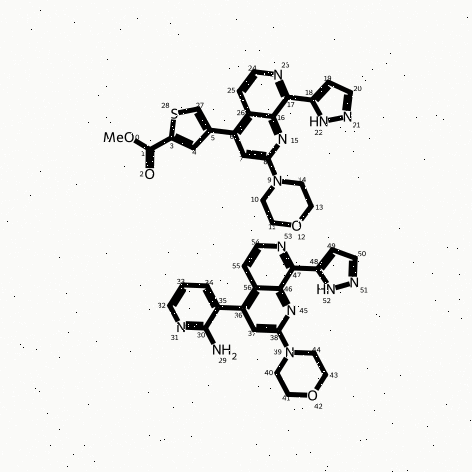 COC(=O)c1cc(-c2cc(N3CCOCC3)nc3c(-c4ccn[nH]4)nccc23)cs1.Nc1ncccc1-c1cc(N2CCOCC2)nc2c(-c3ccn[nH]3)nccc12